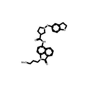 COCCCN1C(=O)c2cccc3c(NC(=O)C4CCN(Sc5ccc6c(c5)CCO6)C4)ccc1c23